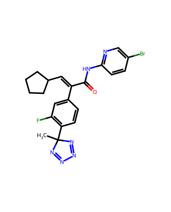 CC1(c2ccc(/C(=C\C3CCCC3)C(=O)Nc3ccc(Br)cn3)cc2F)N=NN=N1